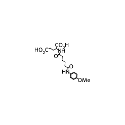 COc1ccc(NC(=O)CCCCC(=O)N[C@@H](CCC(=O)O)C(=O)O)cc1